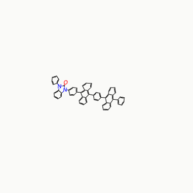 O=c1n(-c2ccccc2)c2ccccc2n1-c1ccc(-c2c3ccccc3c(-c3ccc(-c4c5ccccc5c(-c5ccccc5)c5ccccc45)cc3)c3ccccc23)cc1